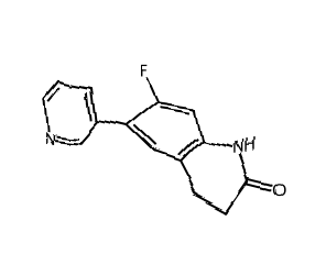 O=C1CCc2cc(-c3cccnc3)c(F)cc2N1